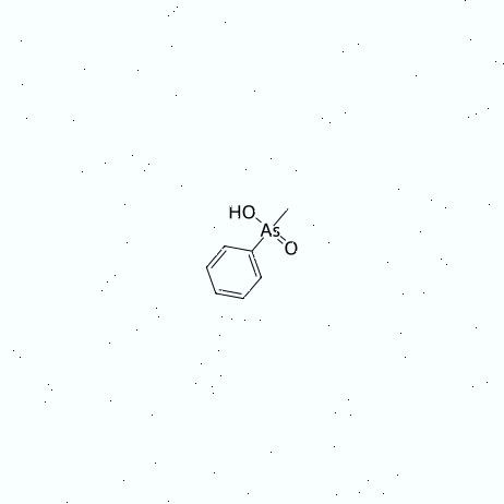 C[As](=O)(O)c1ccccc1